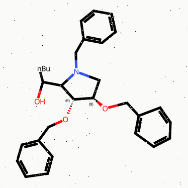 CCCCC(O)C1[C@@H](OCc2ccccc2)[C@H](OCc2ccccc2)CN1Cc1ccccc1